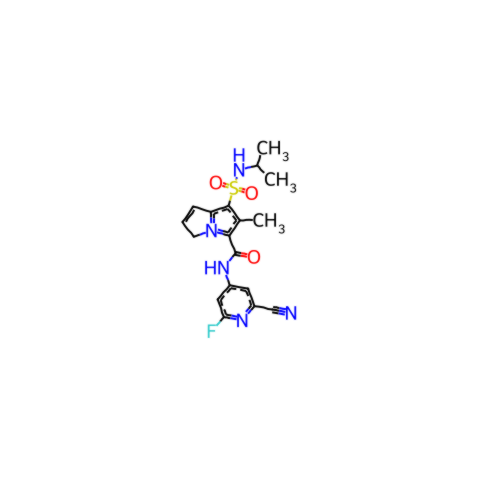 Cc1c(S(=O)(=O)NC(C)C)c2n(c1C(=O)Nc1cc(F)nc(C#N)c1)CC=C2